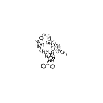 CCC(=O)N[C@H]1C[C@@H](n2cnc3c(NCC(c4ccccc4)c4ccccc4)nc(N4CC[C@@H](NC(=O)Nc5ccc(OC(F)(F)F)cc5)C4)nc32)[C@H](OC(=O)C(F)(F)F)[C@@H]1O